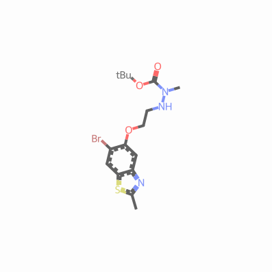 Cc1nc2cc(OCCNN(C)C(=O)OC(C)(C)C)c(Br)cc2s1